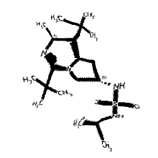 CC(C)NS(=O)(=O)N[C@H]1CC2=C(C(C)(C)C)[C@H](C)N=C(C(C)(C)C)N2C1